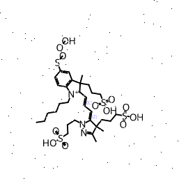 CCCCCC[N+]1=C(/C=C/C=C2\N(CCCS(=O)(=O)O)N=C(C)C2(C)CCCS(=O)(=O)O)C(C)(CCCS(=O)(=O)O)c2cc(SOOO)ccc21